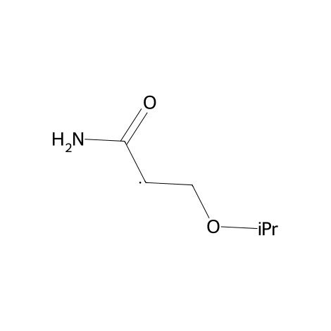 CC(C)OC[CH]C(N)=O